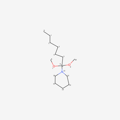 CCCCCC[Si](OC)(OC)N1CCCCC1